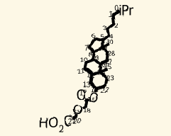 CC(C)CCCCC1CCC2C3CC=C4CC(OC(=O)COCC(=O)O)CCC4(C)C3CCC12C